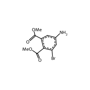 COC(=O)c1cc(N)cc(Br)c1C(=O)OC